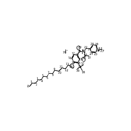 CCCCCCCCCCCCCCOc1ccc(C(=O)N(Cc2cc[n+](C)cc2)C(C)=O)cc1C(C)(C)C.[I-]